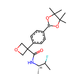 CC(F)[C@H](C)NC(=O)C1(c2ccc(B3OC(C)(C)C(C)(C)O3)cc2)COC1